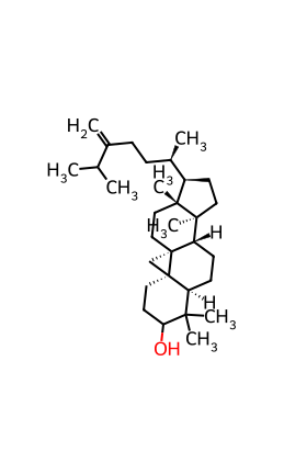 C=C(CC[C@@H](C)[C@H]1CC[C@@]2(C)[C@@H]3CC[C@H]4C(C)(C)C(O)CC[C@@]45C[C@]35CC[C@]12C)C(C)C